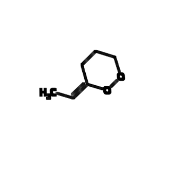 CC=C1CCCOO1